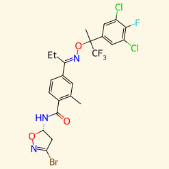 CC/C(=N\OC(C)(c1cc(Cl)c(F)c(Cl)c1)C(F)(F)F)c1ccc(C(=O)N[C@@H]2CC(Br)=NO2)c(C)c1